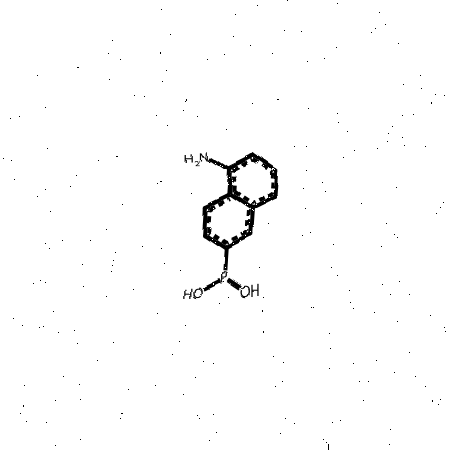 Nc1cccc2cc(P(O)O)ccc12